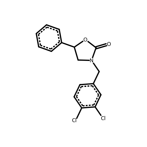 O=C1OC(c2ccccc2)CN1Cc1ccc(Cl)c(Cl)c1